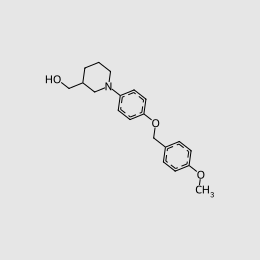 COc1ccc(COc2ccc(N3CCCC(CO)C3)cc2)cc1